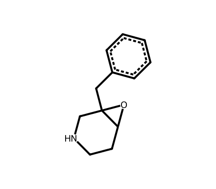 c1ccc(CC23CNCCC2O3)cc1